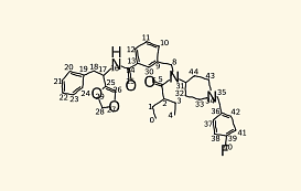 CCC(CC)C(=O)N(Cc1cccc(C(=O)NC(Cc2ccccc2)C2=COCO2)c1)C1CCN(Cc2ccc(F)cc2)CC1